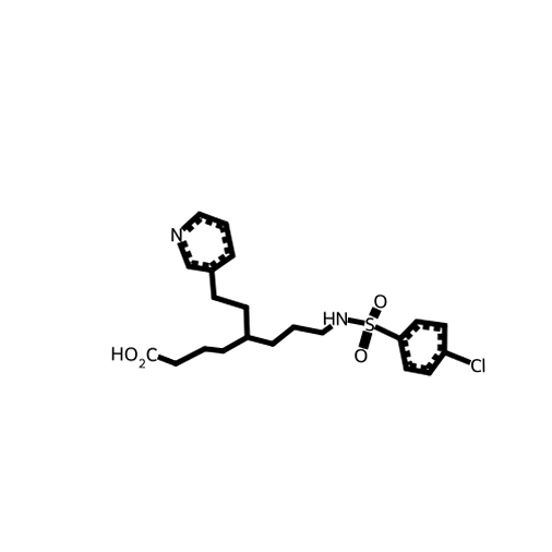 O=C(O)CCCC(CCCNS(=O)(=O)c1ccc(Cl)cc1)CCc1cccnc1